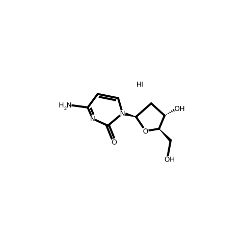 I.Nc1ccn([C@H]2C[C@H](O)[C@@H](CO)O2)c(=O)n1